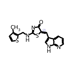 Cc1ccsc1CNC1=NC(=O)/C(=C/c2c[nH]c3ncccc23)S1